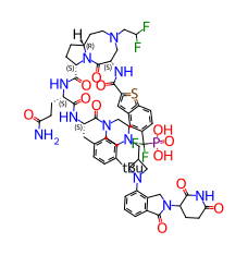 CC(C)(C)c1ccc(C[C@H](NC(=O)[C@H](CCC(N)=O)NC(=O)[C@@H]2CC[C@@H]3CCN(CC(F)F)C[C@H](NC(=O)c4cc5cc(C(F)(F)P(=O)(O)O)ccc5s4)C(=O)N32)C(=O)N2CCN(CC3CN(c4cccc5c4CN(C4CCC(=O)NC4=O)C5=O)C3)CC2)cc1